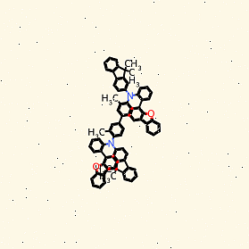 Cc1cc(-c2ccc(N(c3ccc4c(c3)C(C)(C)c3ccccc3-4)c3ccccc3-c3cccc4c3oc3ccccc34)c(C)c2)ccc1N(c1ccc2c(c1)C(C)(C)c1ccccc1-2)c1ccccc1-c1cccc2c1oc1ccccc12